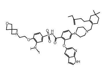 C=C(CC)CCC1=C(CN2CCN(c3ccc(C(=O)NS(=O)(=O)c4ccc(OCCN5CC6(COC6)C5)c(N(I)I)c4)c(Oc4cnc5[nH]ccc5c4)c3)CC2)CCC(C)(C)C1